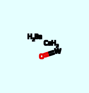 [BaH2].[CaH2].[O]=[W]